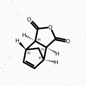 O=C1OC(=O)[C@H]2[C@@H]1[C@H]1C=C[C@H]2C1